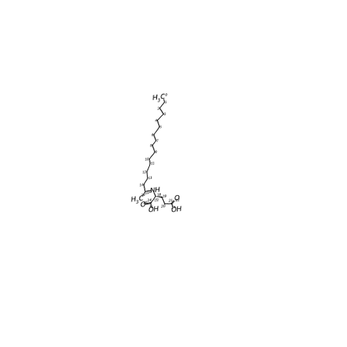 CCCCCCCCCCCCCCCC(C)N[C@@H](CCC(=O)O)C(=O)O